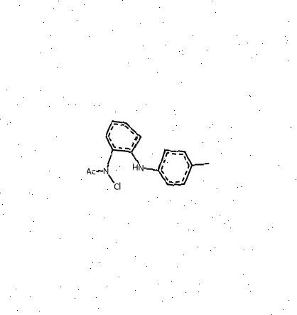 CC(=O)N(Cl)c1ccccc1Nc1ccc(C)cc1